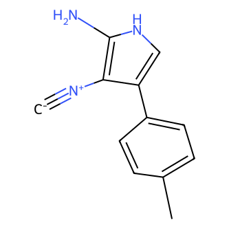 [C-]#[N+]c1c(-c2ccc(C)cc2)c[nH]c1N